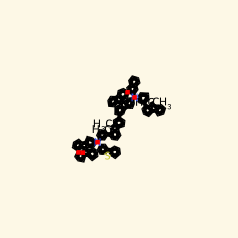 CC1(C)c2ccccc2-c2cccc(-c3cccc(N(c4ccc5c(c4)C4(c6ccccc6-c6ccccc64)c4ccc(-c6ccc7c(c6)C(C)(C)c6c(-c8cccc(N(c9ccc%10c(c9)C9(c%11ccccc%11-c%11ccccc%119)c9ccccc9-%10)c9ccc%10sc%11ccccc%11c%10c9)c8)cccc6-7)cc4-5)c4ccc5ccccc5c4)c3)c21